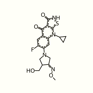 CON=C1CN(c2cc3c(cc2F)c(=O)c2c(=O)[nH]sc2n3C2CC2)CC1CO